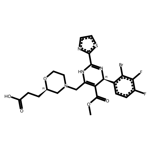 COC(=O)C1=C(CN2CCO[C@H](CCC(=O)O)C2)NC(c2nccs2)=N[C@H]1c1ccc(F)c(F)c1Br